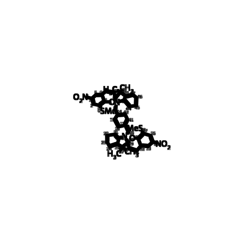 CSc1cc([N+](=O)[O-])cc2c1OC1(C=C2)N(Cc2ccc(CN3c4ccccc4C(C)(C)C34C=Cc3cc([N+](=O)[O-])cc(SC)c3O4)cc2)c2ccccc2C1(C)C